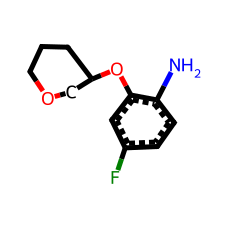 Nc1ccc(F)cc1OC1CCCOC1